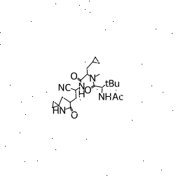 CC(=O)NC(C(=O)N(C)C(CC1CC1)C(=O)NC(C#N)CC1CC2(CC2)NC1=O)C(C)(C)C